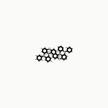 c1ccc(N2c3ccccc3B3c4c(cccc42)Oc2ccc4c5c(ccc4c23)Oc2cccc3c2B5c2ccccc2N3c2ccccc2)cc1